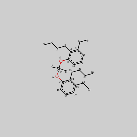 CCCCc1c(CC)cccc1[O][Sn]([CH3])([CH3])[O]c1cccc(CC)c1CCCC